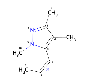 C/C=C\c1c(C)c(C)nn1C